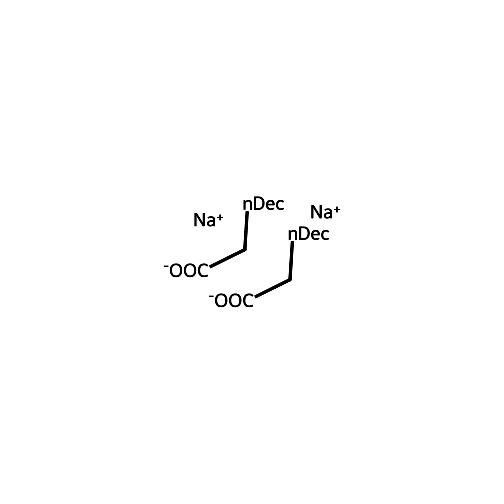 CCCCCCCCCCCC(=O)[O-].CCCCCCCCCCCC(=O)[O-].[Na+].[Na+]